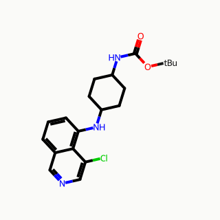 CC(C)(C)OC(=O)NC1CCC(Nc2cccc3cncc(Cl)c23)CC1